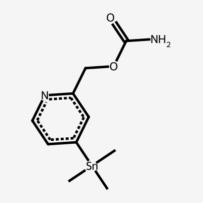 [CH3][Sn]([CH3])([CH3])[c]1ccnc(COC(N)=O)c1